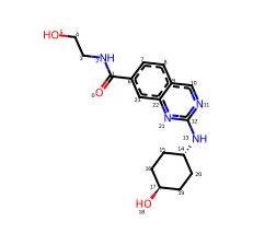 O=C(NCCO)c1ccc2cnc(N[C@H]3CC[C@H](O)CC3)nc2c1